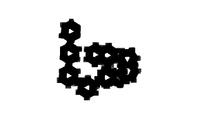 c1ccc(-c2ccc(-c3cccc(-c4cccc(-c5nc(-c6cccc7ccccc67)c6c(n5)oc5ccc7ccccc7c56)c4)c3)cc2)cc1